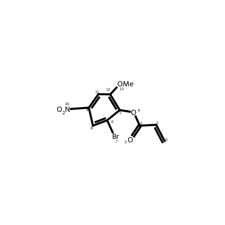 C=CC(=O)Oc1c(Br)cc([N+](=O)[O-])cc1OC